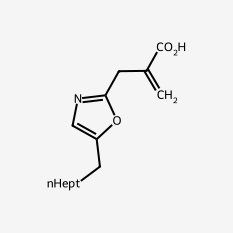 C=C(Cc1ncc(CCCCCCCC)o1)C(=O)O